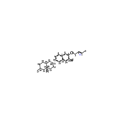 C/C=C/COc1cc2ccc([C@@H]3CC[C@@H]4CC(C)CCC4C3)cc2cc1F